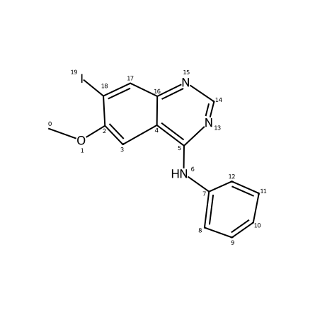 COc1cc2c(Nc3ccccc3)ncnc2cc1I